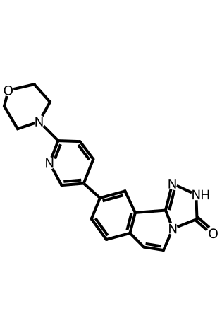 O=c1[nH]nc2c3cc(-c4ccc(N5CCOCC5)nc4)ccc3ccn12